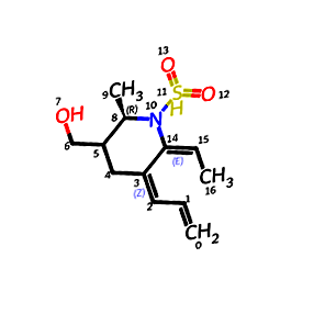 C=C/C=C1/CC(CO)[C@@H](C)N([SH](=O)=O)/C1=C/C